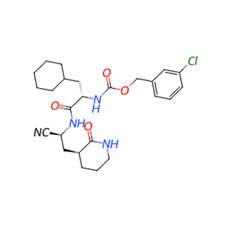 N#C[C@H](C[C@@H]1CCCNC1=O)NC(=O)[C@H](CC1CCCCC1)NC(=O)OCc1cccc(Cl)c1